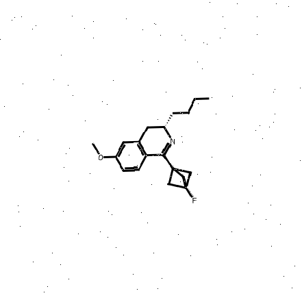 CCCC[C@H]1Cc2cc(OC)ccc2C(C23CC(F)(C2)C3)=N1